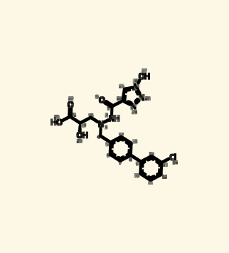 O=C(NN(Cc1ccc(-c2cccc(Cl)c2)cc1)C[C@@H](O)C(=O)O)c1cn(O)nn1